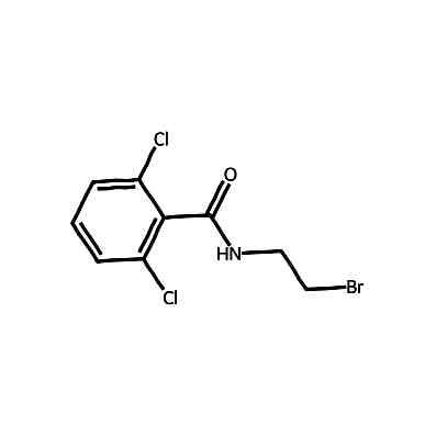 O=C(NCCBr)c1c(Cl)cccc1Cl